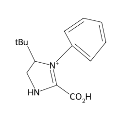 CC(C)(C)C1CNC(C(=O)O)=[N+]1c1ccccc1